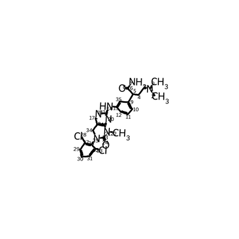 CN(C)CCC(C(N)=O)c1cccc(Nc2ncc3c(n2)N(C)C(=O)N(c2c(Cl)cccc2Cl)C3)c1